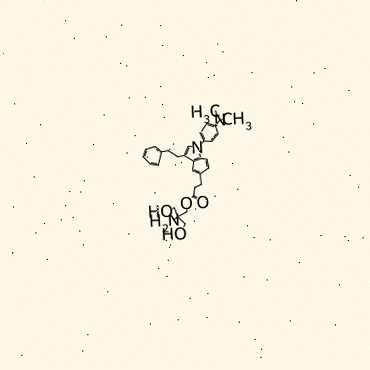 CN(C)c1ccc(-n2cc(CCc3ccccc3)c3cc(CCC(=O)OCC(N)(CO)CO)ccc32)cc1